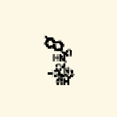 O=C(NCC(=O)N1CCCC1B(O)O)c1ccc2cc(I)ccc2c1